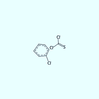 Clc1ccccc1.S=C(Cl)Cl